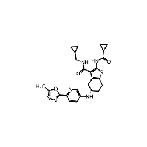 Cc1nnc(-c2ccc(N[C@H]3CCc4sc(NC(=O)C5CC5)c(C(=O)NCC5CC5)c4C3)cn2)o1